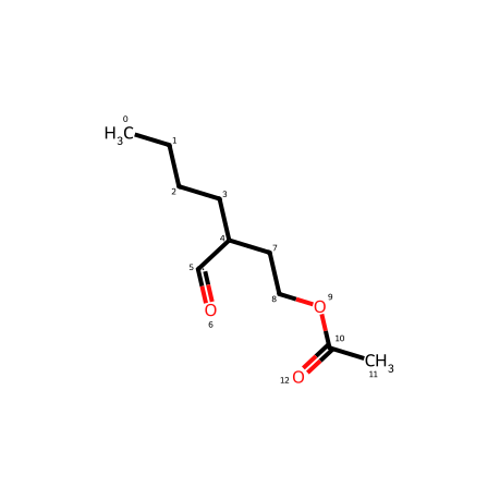 CCCCC([C]=O)CCOC(C)=O